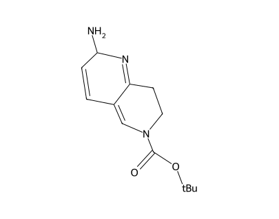 CC(C)(C)OC(=O)N1C=C2C=CC(N)N=C2CC1